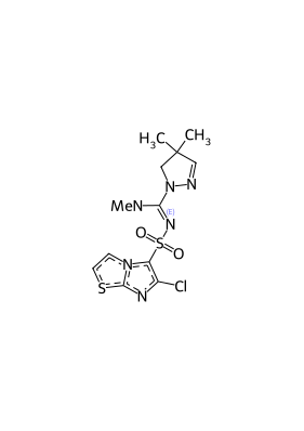 CN/C(=N\S(=O)(=O)c1c(Cl)nc2sccn12)N1CC(C)(C)C=N1